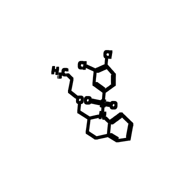 CCCOCC1CCc2ccccc2N1S(=O)(=O)c1ccc(Cl)c(Cl)c1